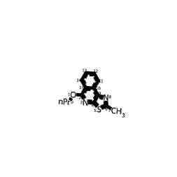 CCCOc1nc2sc(C)nc2c2ccccc12